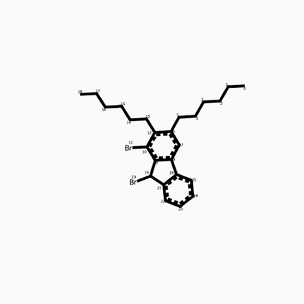 CCCCCCc1cc2c(c(Br)c1CCCCCC)C(Br)c1ccccc1-2